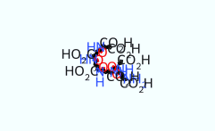 N[C@@H](CCC(=O)N[C@@H](CCC(=O)O)C(=O)N[C@@H](CCC(=O)N[C@@H](CCC(=O)N[C@@H](CCC(=O)N[C@@H](CCC(=O)O)C(=O)O)C(=O)O)C(=O)O)C(=O)O)C(=O)O